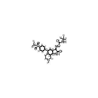 CN1CCc2c(-c3ccc(S(=O)(=O)N(C)C)cc3)cc3c(c2C1)NC(=O)C3=NOC(=O)NC(C)(C)C